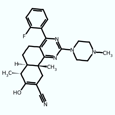 C[C@H]1C(O)=C(C#N)C[C@@]2(C)c3nc(N4CCN(C)CC4)nc(-c4ccccc4F)c3CC[C@H]12